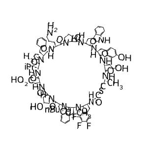 CCCC[C@H]1C(=O)N2C[C@H](O)C[C@@H]2C(=O)N[C@@H](CC(=O)O)C(=O)N[C@@H](C(C)C)C(=O)N(C)[C@@H](Cc2ccccc2)C(=O)N[C@@H](CCCN)C(=O)N2CCC[C@@H]2C(=O)N[C@@H](Cc2c[nH]c3ccccc23)C(=O)N[C@@H](Cc2ccc(O)cc2)C(=O)N[C@@H](CCO)C(=O)N[C@H](C)CSCC(=O)N[C@@H](Cc2cc(F)c(F)c(F)c2)C(=O)N(C)[C@@H](Cc2ccccc2)C(=O)N1C